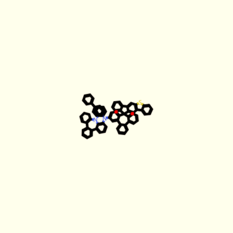 C1=CC2=C(CC1)N(c1ccccc1)c1c(cccc1N(c1ccc(-c3ccccc3)cc1)c1ccc3c(c1)-c1ccccc1-c1ccccc1C31c3ccccc3-c3cc4sc5ccccc5c4cc31)-c1ccccc12